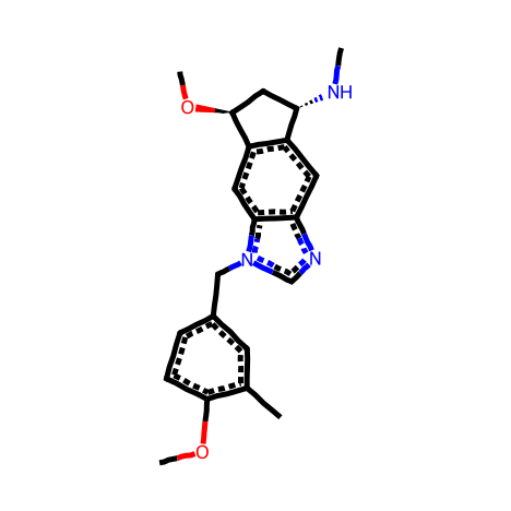 CN[C@H]1C[C@H](OC)c2cc3c(cc21)ncn3Cc1ccc(OC)c(C)c1